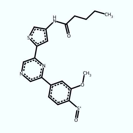 CCCCC(=O)Nc1csc(-c2cncc(-c3ccc([S+]=O)c(OC)c3)n2)c1